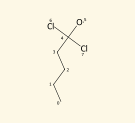 CCCCC([O])(Cl)Cl